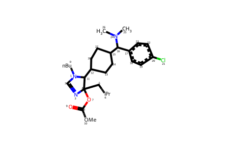 CCCCN1C=NC(CC(C)C)(OC(=O)OC)C1C1CCC(C(c2ccc(Cl)cc2)N(C)C)CC1